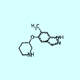 Cc1cc2[nH]ncc2cc1OC1CCCNC1